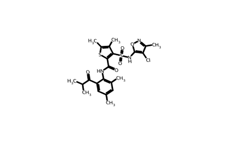 Cc1cc(C)c(NC(=O)c2sc(C)c(C)c2S(=O)(=O)Nc2onc(C)c2Cl)c(C(=O)C(C)C)c1